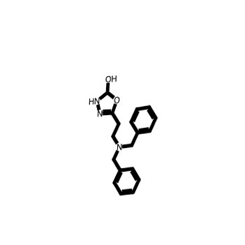 OC1NN=C(CCN(Cc2ccccc2)Cc2ccccc2)O1